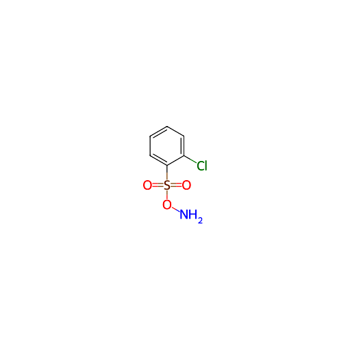 NOS(=O)(=O)c1ccccc1Cl